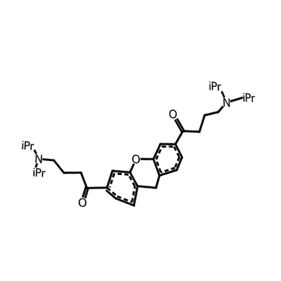 CC(C)N(CCCC(=O)c1ccc2c(c1)Oc1cc(C(=O)CCCN(C(C)C)C(C)C)ccc1C2)C(C)C